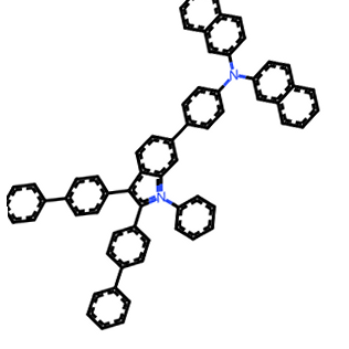 c1ccc(-c2ccc(-c3c(-c4ccc(-c5ccccc5)cc4)n(-c4ccccc4)c4cc(-c5ccc(N(c6ccc7ccccc7c6)c6ccc7ccccc7c6)cc5)ccc34)cc2)cc1